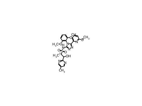 COc1cccc(-c2nnc(NS(=O)(=O)[C@@H](C)C(O)c3ncc(C)cn3)n2-c2c(OC)cccc2OC)n1